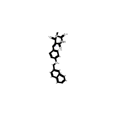 CN1C(=O)/C(=C/c2ccc(OCc3ccc4ccccc4c3)cc2)C(=O)NC1=S